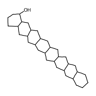 OC1CCCC2CC3CC4CC5CC6CC7CC8CCCCC8CC7CC6CC5CC4CC3CC12